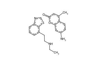 CCNCCc1cccc2ncsc12.Cc1cc(=O)oc2cc(N)ccc12